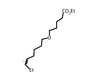 CC/C=C\CCCCOCCCCC(=O)OCC